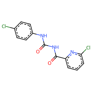 O=C(NC(=O)c1cccc(Cl)n1)Nc1ccc(Cl)cc1